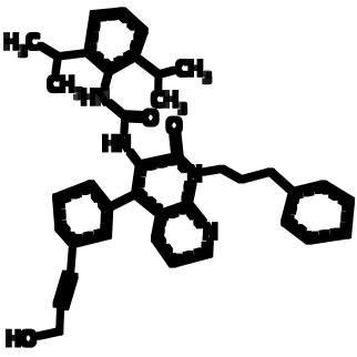 CC(C)c1cccc(C(C)C)c1NC(=O)Nc1c(-c2cccc(C#CCO)c2)c2cccnc2n(CCCc2ccccc2)c1=O